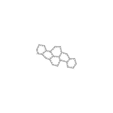 [c]1cccc2c1cc1ccc3c4ccccc4cc4ccc2c1c43